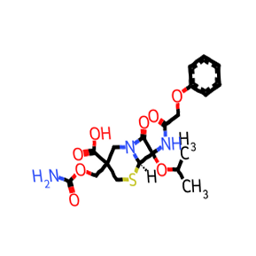 CC(C)OC1(NC(=O)COc2ccccc2)C(=O)N2CC(COC(N)=O)(C(=O)O)CS[C@@H]21